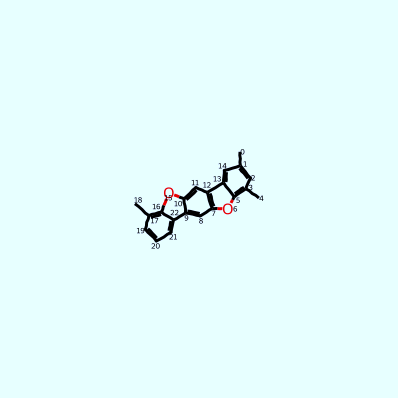 Cc1cc(C)c2oc3cc4c(cc3c2c1)oc1c(C)cccc14